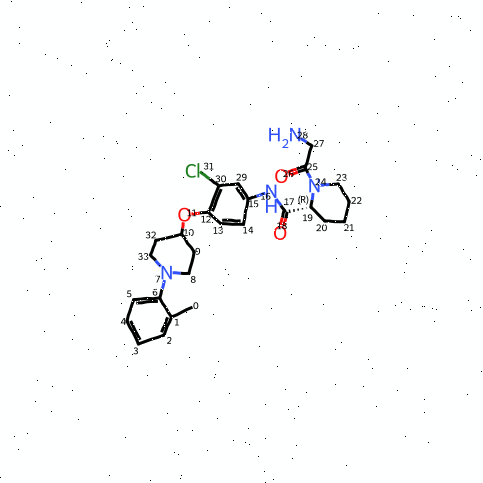 Cc1ccccc1N1CCC(Oc2ccc(NC(=O)[C@H]3CCCCN3C(=O)CN)cc2Cl)CC1